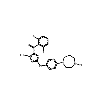 CN1CCCN(c2ccc(Nc3nc(N)c(C(=O)c4c(F)cccc4F)s3)cc2)CC1